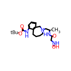 C[C@@H](CN1CCCCc2c(cccc2NC(=O)OC(C)(C)C)C1)NC(=O)CNO